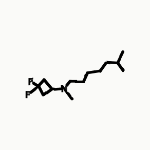 CC(C)CCCCCN(C)C1CC(F)(F)C1